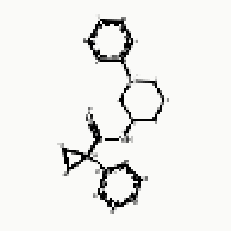 O=C(NC1CCCN(c2ccccc2)C1)C1(c2ccccc2)CC1